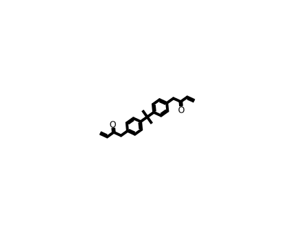 C=CC(=O)Cc1ccc(C(C)(C)c2ccc(CC(=O)C=C)cc2)cc1